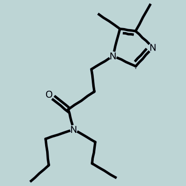 CCCN(CCC)C(=O)CCn1[c]nc(C)c1C